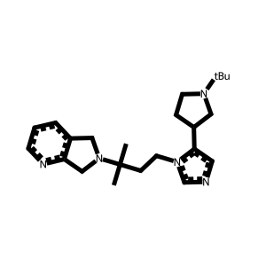 CC(C)(C)N1CCC(c2cncn2CCC(C)(C)N2Cc3cccnc3C2)C1